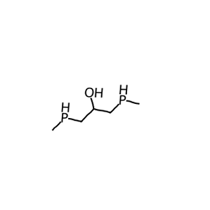 CPCC(O)CPC